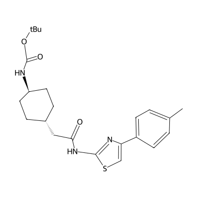 Cc1ccc(-c2csc(NC(=O)C[C@H]3CC[C@H](NC(=O)OC(C)(C)C)CC3)n2)cc1